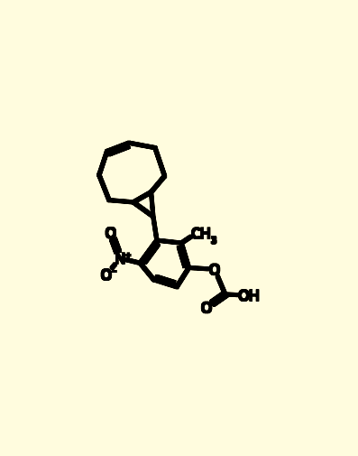 Cc1c(OC(=O)O)ccc([N+](=O)[O-])c1C1C2CC/C=C\CCC21